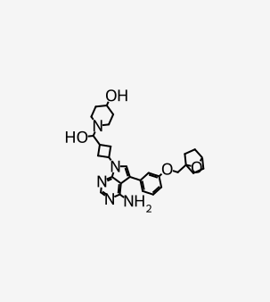 Nc1ncnc2c1c(-c1cccc(OCC34CCC(CC3)O4)c1)cn2C1CC(C(O)N2CCC(O)CC2)C1